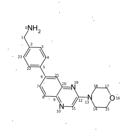 NCc1ccc(-c2ccc3ncc(N4CCOCC4)nc3c2)cc1